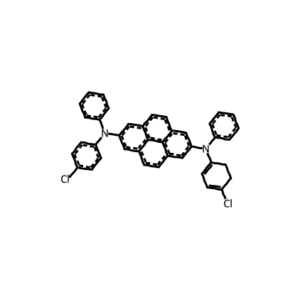 ClC1=CC=C(N(c2ccccc2)c2cc3ccc4cc(N(c5ccccc5)c5ccc(Cl)cc5)cc5ccc(c2)c3c45)CC1